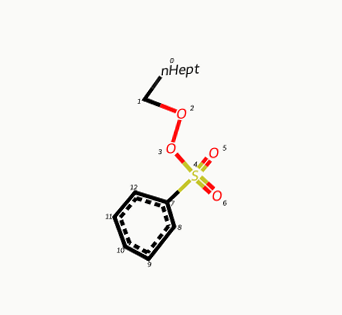 CCCCCCCCOOS(=O)(=O)c1ccccc1